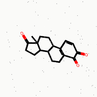 CC12CCC3C4=C(CCC3C1CCC2=O)C(=O)C(=O)C=C4